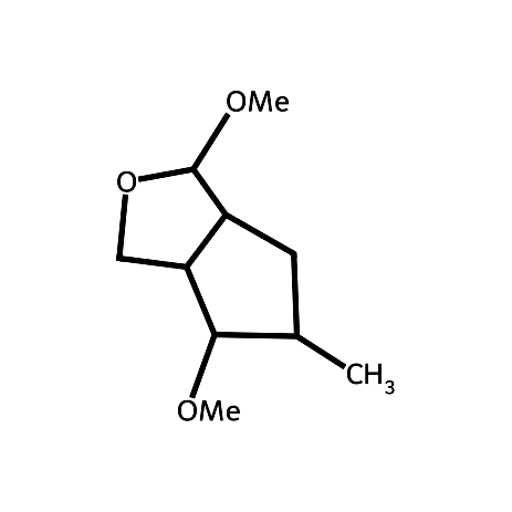 COC1OCC2C1CC(C)C2OC